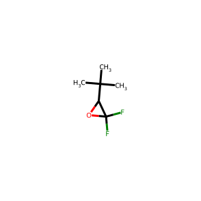 CC(C)(C)C1OC1(F)F